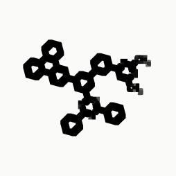 Cc1cc(-c2cccc(-c3cc(-c4ccc5c(c4)c4c(c6ccccc65)C=CCC4)cc(-c4nc(-c5ccccc5)nc(-c5ccccc5)n4)c3)c2)nc(C)n1